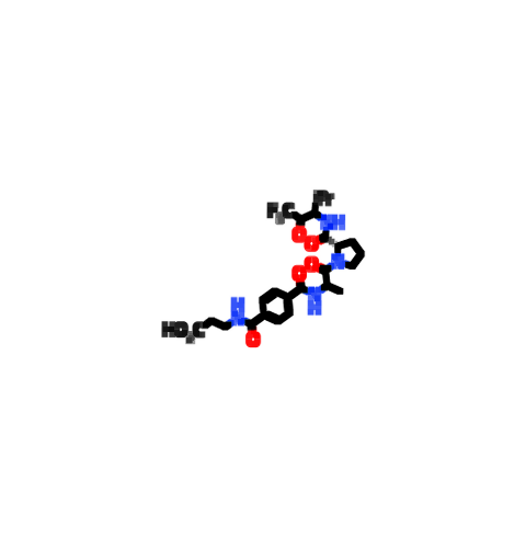 CC(NC(=O)c1ccc(C(=O)NCCC(=O)O)cc1)C(=O)N1CCC[C@H]1C(=O)NC(C(=O)C(F)(F)F)C(C)C